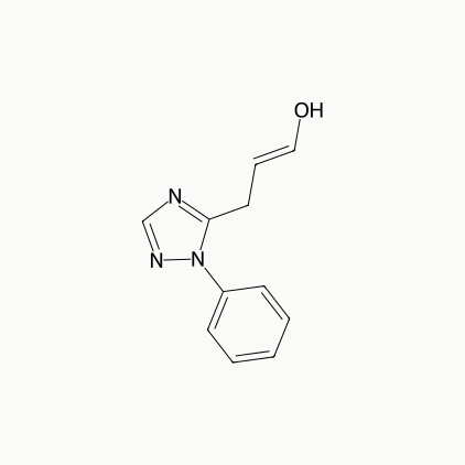 OC=CCc1ncnn1-c1ccccc1